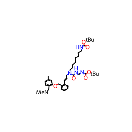 CNCc1ccc(C)cc1OCc1ccccc1/C=C/CN(CCCCCCCCNC(=O)OC(C)(C)C)C(=O)NC=NC(=O)OC(C)(C)C